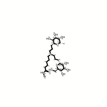 C[C@@H]1O[C@@H](CCCN(CCCCCC(=O)NBr)CCC[C@H]2O[C@H](CO)[C@@H](O)[C@H](O)[C@H]2O)[C@@H](O)[C@H](O)[C@@H]1O